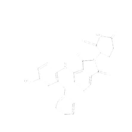 COc1ccc(Nc2cccc3c2C(=O)N(C2CCC(=O)NC2=O)C3=O)c(Oc2ccccc2)c1